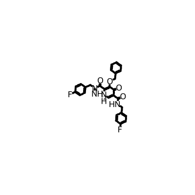 NN(Cc1ccc(F)cc1)C(=O)c1[nH]cc(C(=O)NCc2ccc(F)cc2)c(=O)c1OCc1ccccc1